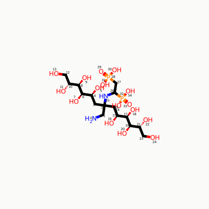 NCC(C[C@H](O)[C@@H](O)[C@H](O)[C@H](O)CO)(C[C@H](O)[C@@H](O)[C@H](O)[C@H](O)CO)NC(CP(=O)(O)O)P(=O)(O)O